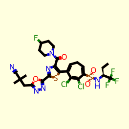 CC[C@H](NS(=O)(=O)C1=CCC=C(c2sc(-c3nnc(CC(C)(C)C#N)o3)nc2C(=O)N2CCC(F)CC2)C(Cl)=C1Cl)C(F)(F)F